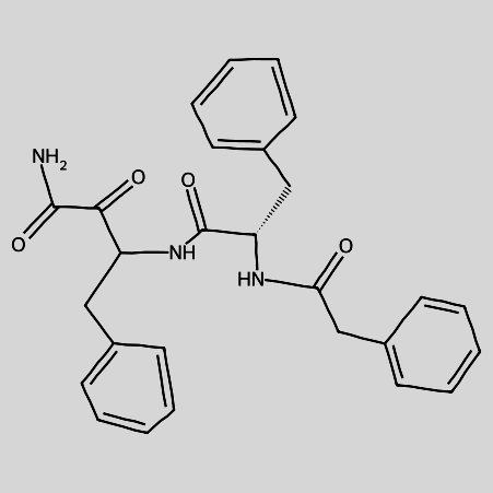 NC(=O)C(=O)C(Cc1ccccc1)NC(=O)[C@H](Cc1ccccc1)NC(=O)Cc1ccccc1